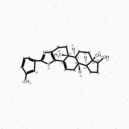 Cc1cccc(-c2nc3c(s2)C2=CC[C@@H]4[C@H](CC[C@]5(C)C(O)CC[C@@H]45)[C@@]2(C)CC3)c1